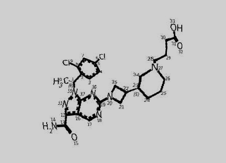 C[C@H](c1ccc(Cl)cc1Cl)n1nc(C(N)=O)c2cnc(N3CC([C@@H]4CCCN(CCCC(=O)O)C4)C3)nc21